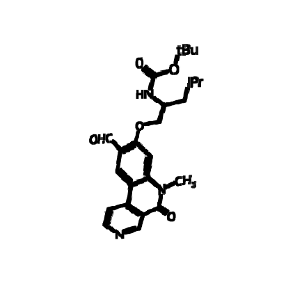 CC(C)CC(COc1cc2c(cc1C=O)c1ccncc1c(=O)n2C)NC(=O)OC(C)(C)C